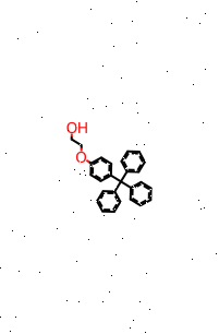 OCCOc1ccc(C(c2ccccc2)(c2ccccc2)c2ccccc2)cc1